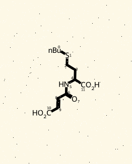 CCCCSCCC(NC(=O)C=CC(=O)O)C(=O)O